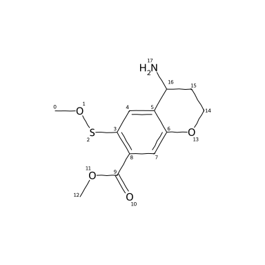 COSc1cc2c(cc1C(=O)OC)OCCC2N